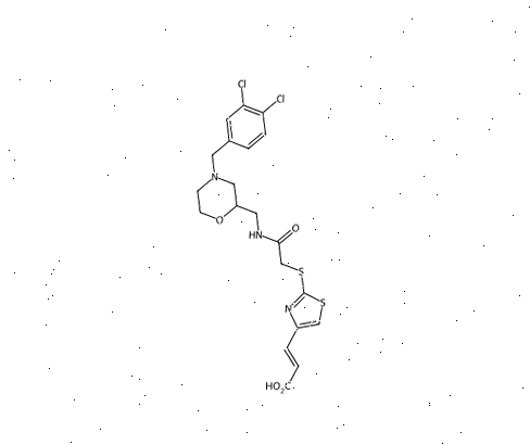 O=C(O)/C=C/c1csc(SCC(=O)NCC2CN(Cc3ccc(Cl)c(Cl)c3)CCO2)n1